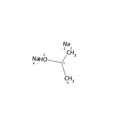 CC(C)O.[Na].[Na]